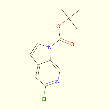 CC(C)(C)OC(=O)n1ccc2cc(Cl)ncc21